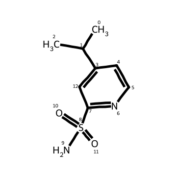 CC(C)c1ccnc(S(N)(=O)=O)c1